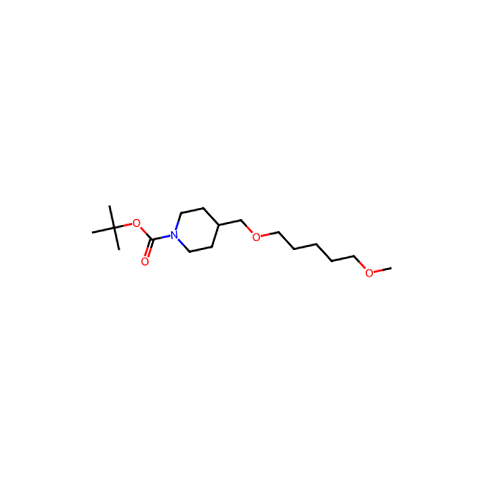 COCCCCCOCC1CCN(C(=O)OC(C)(C)C)CC1